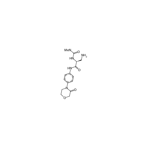 CNC(=O)N[C@@H](CN)C(=O)Nc1ccc(N2CCOCC2=O)cc1